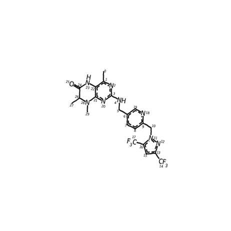 Cc1nc(NCc2ccc(Cn3nc(C(F)(F)F)cc3C(F)(F)F)nc2)nc2c1NC(=O)C(C)N2C